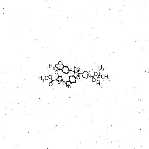 COC(=O)c1sc(-n2cnc3ccc(C(F)(F)S(=O)(=O)C4CCN(C(=O)OC(C)(C)C)CC4)cc32)cc1O[C@H](C)c1ccccc1Cl